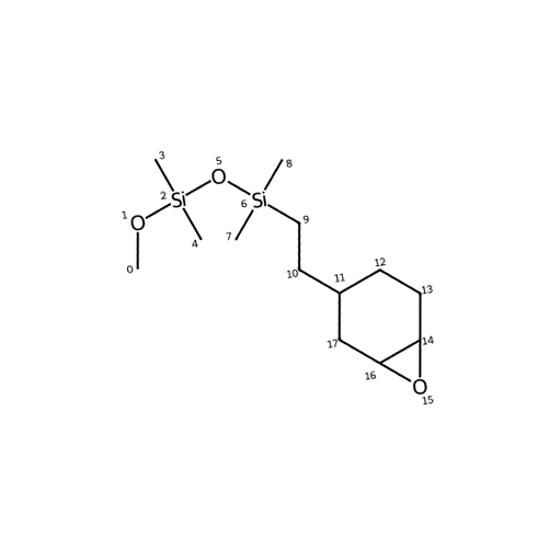 CO[Si](C)(C)O[Si](C)(C)CCC1CCC2OC2C1